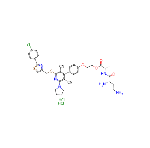 C[C@H](NC(=O)[C@@H](N)CCN)C(=O)OCCOc1ccc(-c2c(C#N)c(SCc3csc(-c4ccc(Cl)cc4)n3)nc(N3CCCC3)c2C#N)cc1.Cl.Cl